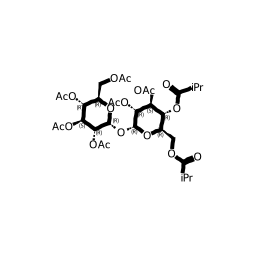 CC(=O)OC[C@H]1O[C@H](O[C@H]2O[C@H](COC(=O)C(C)C)[C@@H](OC(=O)C(C)C)[C@H](OC(C)=O)[C@H]2OC(C)=O)[C@H](OC(C)=O)[C@@H](OC(C)=O)[C@@H]1OC(C)=O